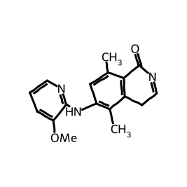 COc1cccnc1Nc1cc(C)c2c(c1C)CC=NC2=O